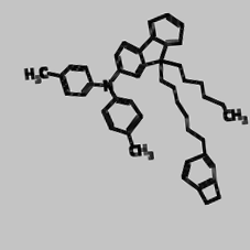 CCCCCCC1(CCCCCCc2ccc3c(c2)CC3)c2ccccc2-c2ccc(N(c3ccc(C)cc3)c3ccc(C)cc3)cc21